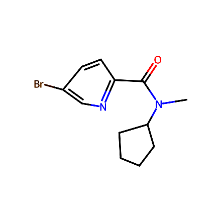 CN(C(=O)c1ccc(Br)cn1)C1CCCC1